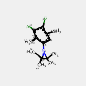 CC1(C)N(c2cc([SiH3])c(Cl)c(Br)c2[SiH3])C1(C)C